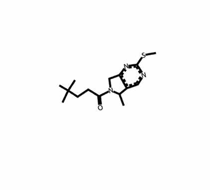 CSc1ncc2c(n1)CN(C(=O)CCC(C)(C)C)C2C